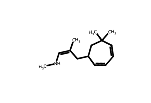 CN/C=C(/C)CC1C=CC=CC(C)(C)C1